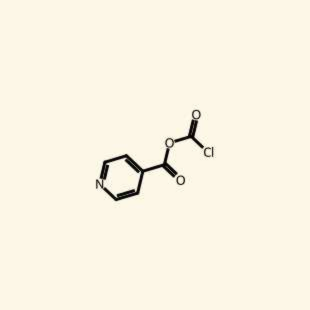 O=C(Cl)OC(=O)c1ccncc1